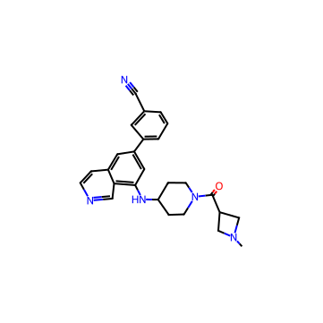 CN1CC(C(=O)N2CCC(Nc3cc(-c4cccc(C#N)c4)cc4ccncc34)CC2)C1